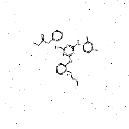 COOCc1ccccc1Nc1nc(Nc2ccc(C)cc2C)nc(Nc2ccccc2CC(=O)OC)n1